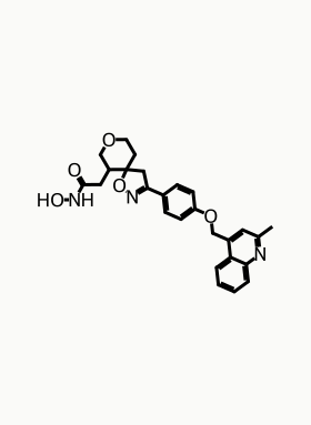 Cc1cc(COc2ccc(C3=NOC4(CCOCC4CC(=O)NO)C3)cc2)c2ccccc2n1